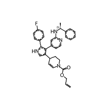 C=CCOC(=O)N1C=CC(c2c[nH]c(-c3ccc(F)cc3)c2-c2ccnc(N[C@@H](C)c3ccccc3)c2)CC1